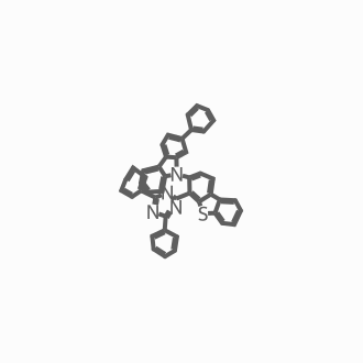 c1ccc(-c2ccc3c4ccccc4n(-c4ccc5c(sc6ccccc65)c4-c4nc(-c5ccccc5)nc(-c5ccccc5)n4)c3c2)cc1